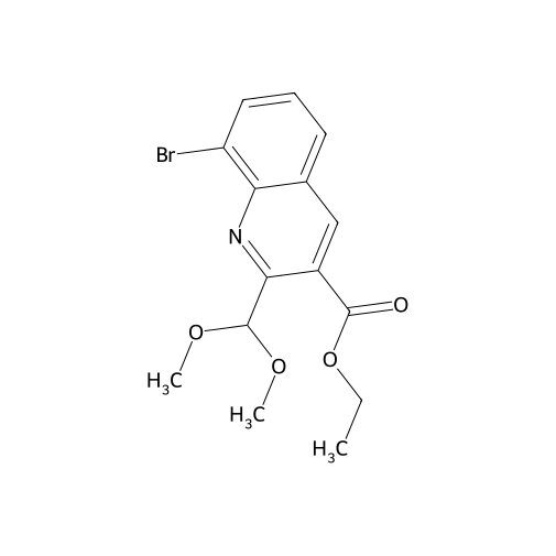 CCOC(=O)c1cc2cccc(Br)c2nc1C(OC)OC